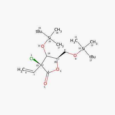 C=C[C@@]1(Cl)C(=O)O[C@H](CO[Si](C)(C)C(C)(C)C)C1O[Si](C)(C)C(C)(C)C